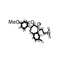 COc1ccc([C@@H]2Sc3ccc(C)cc3N(CCN(C)C)C(=O)[C@@H]2OC(C)=O)cc1